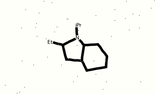 CCC1CC2CCCCC2N1C(C)C